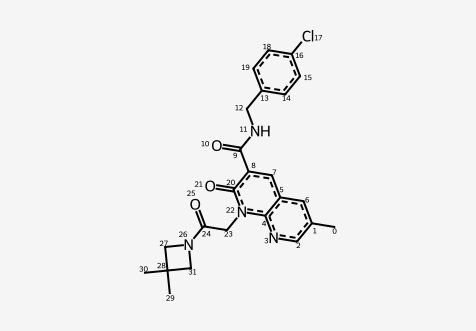 Cc1cnc2c(c1)cc(C(=O)NCc1ccc(Cl)cc1)c(=O)n2CC(=O)N1CC(C)(C)C1